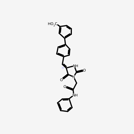 O=C(CN1C(=O)N/C(=C\c2ccc(-c3cccc(C(=O)O)c3)cc2)C1=O)Nc1ccccc1